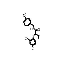 CCC(Sc1ccc(Cl)cc1Cl)C(=O)NCC1=CCC=C(OC)C=C1